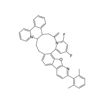 C=C1CC2c3ccccc3-c3cccc[n+]3C2CCc2ccc3c(oc4nc(-c5c(C)cccc5C)ccc43)c2-c2cc(F)cc(F)[n+]21